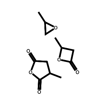 CC1CC(=O)O1.CC1CC(=O)OC1=O.CC1CO1